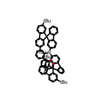 CC(C)(C)c1ccc2c(c1)C1(c3cc(C(C)(C)C)ccc3O2)c2ccccc2-c2ccc(N(c3ccc4c(c3)C3(c5ccccc5-4)c4cc(C(C)(C)C)ccc4-c4ccc(C(C)(C)C)cc43)c3ccccc3-c3cccc4ccccc34)cc21